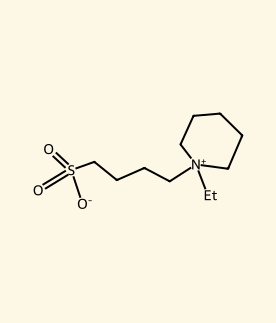 CC[N+]1(CCCCS(=O)(=O)[O-])CCCCC1